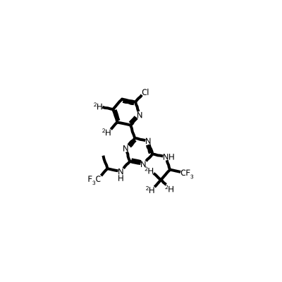 [2H]c1cc(Cl)nc(-c2nc(NC(C)C(F)(F)F)nc(NC(C([2H])([2H])[2H])C(F)(F)F)n2)c1[2H]